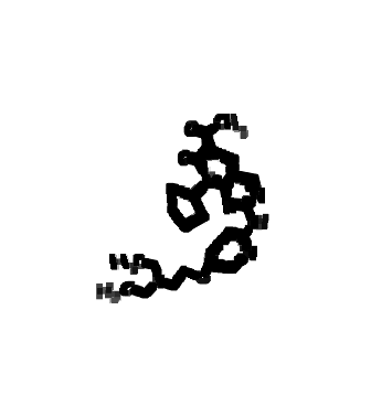 CCN(CC)CCOc1ccc(Nc2ncc3cc(C(C)=O)c(=O)n(C4CCCC4)c3n2)nc1